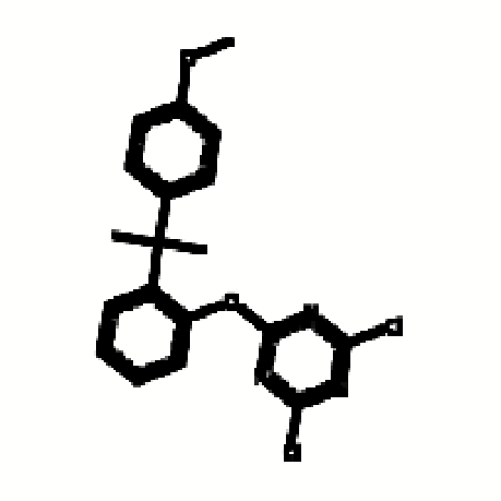 COc1ccc(C(C)(C)c2ccccc2Oc2nc(Cl)nc(Cl)n2)cc1